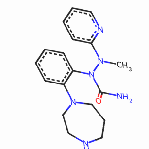 CN(c1ccccn1)N(C(N)=O)c1ccccc1N1CCCNCC1